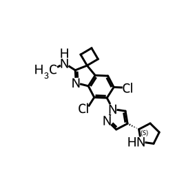 CNC1=Nc2c(cc(Cl)c(-n3cc([C@@H]4CCCN4)cn3)c2Cl)C12CCC2